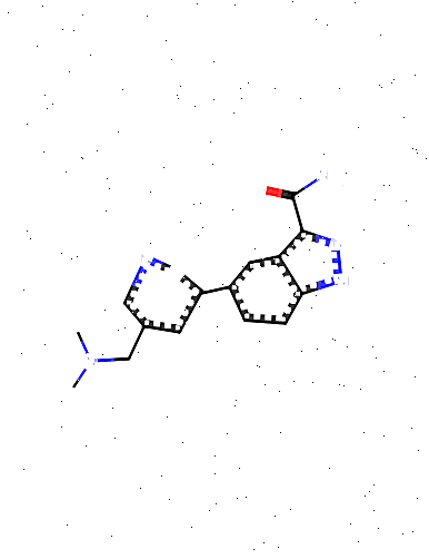 CN(C)Cc1cncc(-c2ccc3[nH]nc(C(N)=O)c3c2)c1